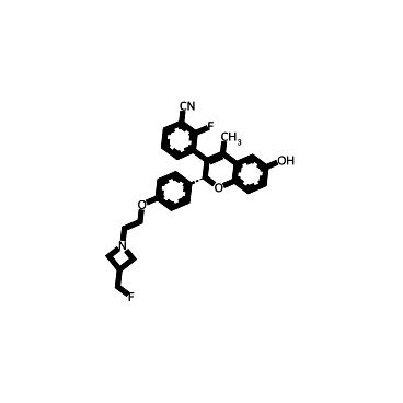 CC1=C(c2cccc(C#N)c2F)[C@@H](c2ccc(OCCN3CC(CF)C3)cc2)Oc2ccc(O)cc21